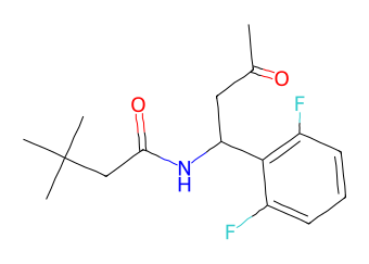 CC(=O)CC(NC(=O)CC(C)(C)C)c1c(F)cccc1F